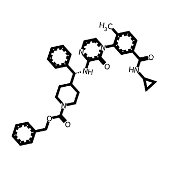 Cc1ccc(C(=O)NC2CC2)cc1-n1ccnc(N[C@@H](c2ccccc2)C2CCN(C(=O)OCc3ccccc3)CC2)c1=O